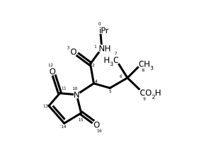 CC(C)NC(=O)C(CC(C)(C)C(=O)O)N1C(=O)C=CC1=O